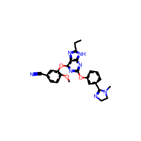 CCc1nc2c(Oc3cc(C#N)ccc3OC)nc(Oc3cccc(C4=NCCN4C)c3)nc2[nH]1